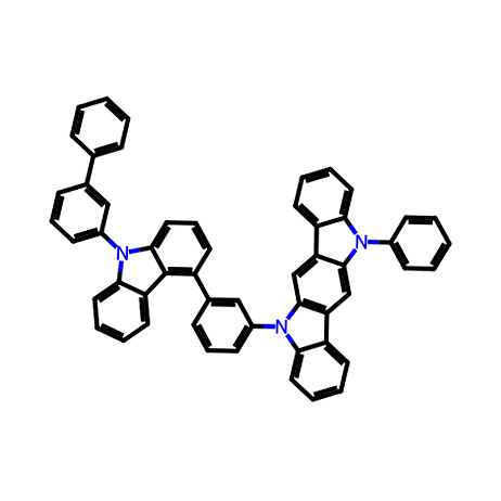 c1ccc(-c2cccc(-n3c4ccccc4c4c(-c5cccc(-n6c7ccccc7c7cc8c(cc76)c6ccccc6n8-c6ccccc6)c5)cccc43)c2)cc1